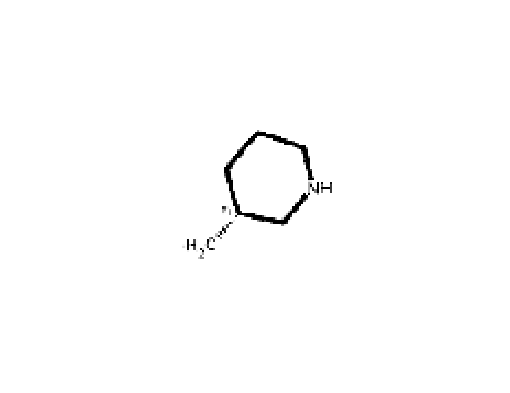 [CH2][C@@H]1CCCNC1